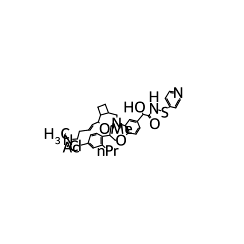 CCCc1cc(Cl)ccc1C1COc2ccc(C(O)C(=O)NSc3ccncc3)cc2N(CC2CCC2C(/C=C/CCN(C)C(C)=O)OC)C1